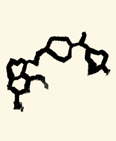 Nc1nc(N)c2c(OCC3CCN(C(=O)c4ccc(F)cc4)CC3)cccc2n1